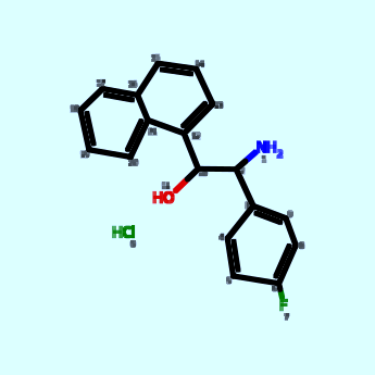 Cl.NC(c1ccc(F)cc1)C(O)c1cccc2ccccc12